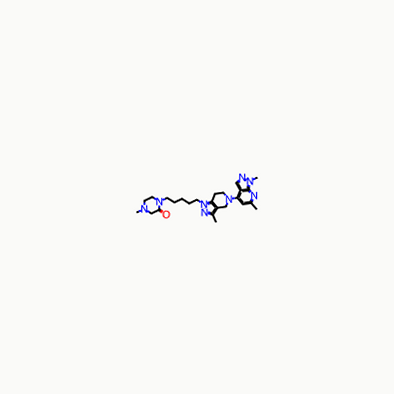 Cc1cc(N2CCc3c(c(C)nn3CCCCCN3CCN(C)CC3=O)C2)c2cnn(C)c2n1